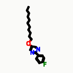 CCCCCCCCCCCOc1cnc(-c2ccc(F)cc2)nc1